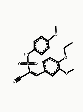 CCOc1ccc(C=C(C#N)S(=O)(=O)Nc2ccc(OC)cc2)cc1OC